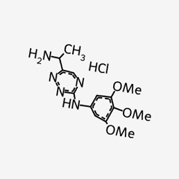 COc1cc(Nc2ncc(C(C)N)nn2)cc(OC)c1OC.Cl